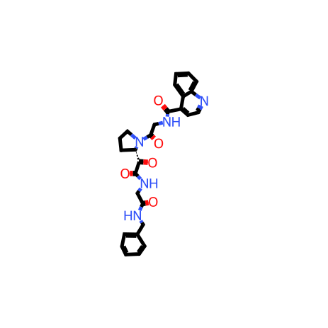 O=C(CNC(=O)C(=O)[C@@H]1CCCN1C(=O)CNC(=O)c1ccnc2ccccc12)NCc1ccccc1